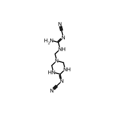 N#CN=C1NCN(CN/C(N)=N/C#N)CN1